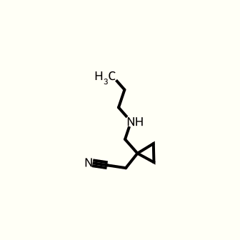 CCCNCC1(CC#N)CC1